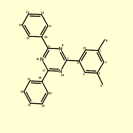 Cc1cc(C)cc(-c2nc(-c3ccccc3)nc(-c3ccccc3)n2)c1